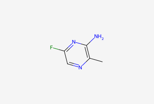 Cc1ncc(F)nc1N